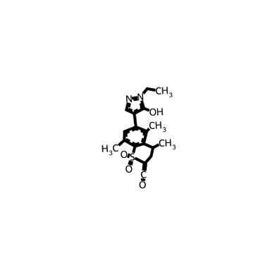 CCn1ncc(-c2cc(C)c3c(c2C)C(C)CC(=C=O)S3(=O)=O)c1O